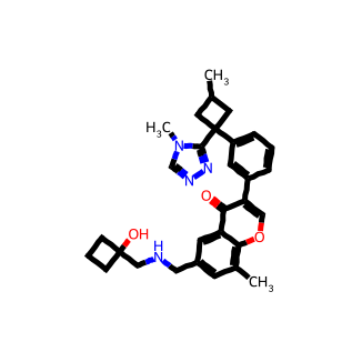 Cc1cc(CNCC2(O)CCC2)cc2c(=O)c(-c3cccc(C4(c5nncn5C)CC(C)C4)c3)coc12